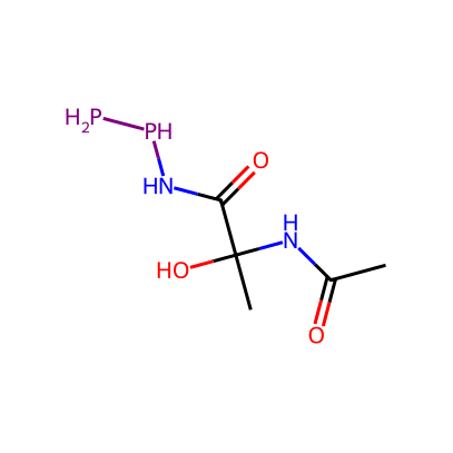 CC(=O)NC(C)(O)C(=O)NPP